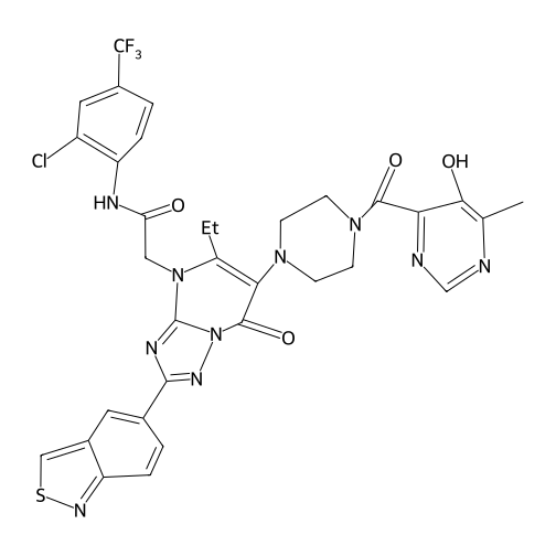 CCc1c(N2CCN(C(=O)c3ncnc(C)c3O)CC2)c(=O)n2nc(-c3ccc4nscc4c3)nc2n1CC(=O)Nc1ccc(C(F)(F)F)cc1Cl